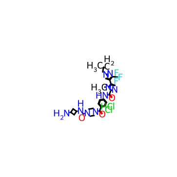 C=C(C)Cn1cc(-c2cnc(C(=O)Nc3ccc(C(=O)N4CCN(C(=O)NC5CC(N)C5)CC4)c(Cl)c3)n2C)c(C(F)(F)F)n1.Cl